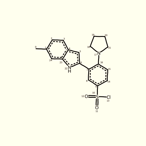 Cc1ccc2cc(-c3cc(S(=O)(=O)Cl)ccc3N3CCCC3)[nH]c2c1